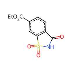 CCOC(=O)c1ccc2c(c1)S(=O)(=O)NC2=O